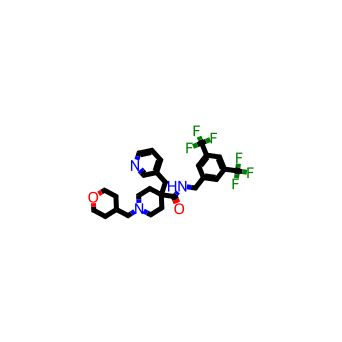 O=C(NCc1cc(C(F)(F)F)cc(C(F)(F)F)c1)C1(Cc2cccnc2)CCN(CC2CCOCC2)CC1